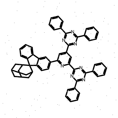 c1ccc(-c2nc(-c3ccccc3)nc(-c3cc(-c4ccc5c(c4)-c4ccccc4C54C5CC6CC(C5)CC4C6)nc(-c4nc(-c5ccccc5)nc(-c5ccccc5)n4)c3)n2)cc1